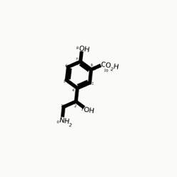 NCC(O)c1ccc(O)c(C(=O)O)c1